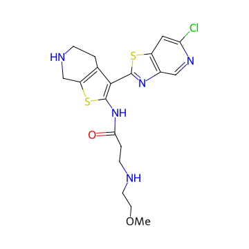 COCCNCCC(=O)Nc1sc2c(c1-c1nc3cnc(Cl)cc3s1)CCNC2